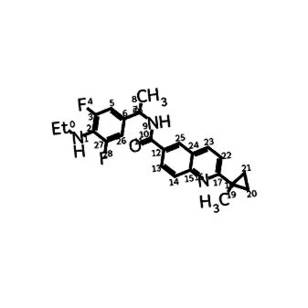 CCNc1c(F)cc([C@@H](C)NC(=O)c2ccc3nc(C4(C)CC4)ccc3c2)cc1F